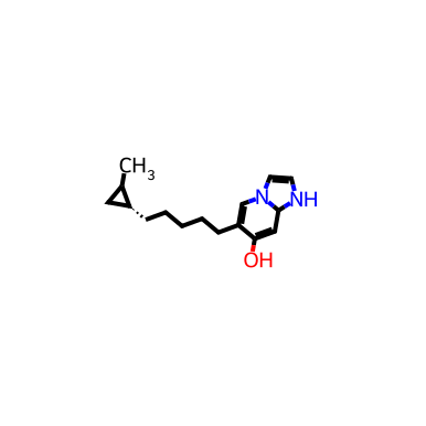 CC1C[C@H]1CCCCCC1=CN2C=CNC2C=C1O